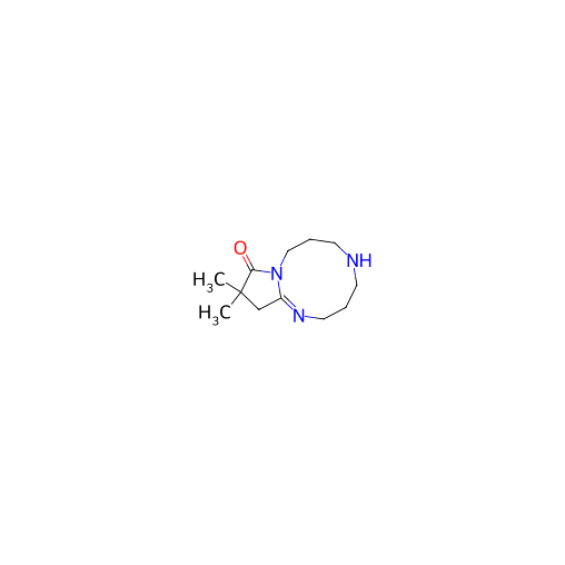 CC1(C)CC2=NCCCNCCCN2C1=O